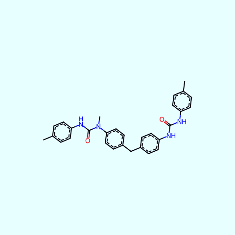 Cc1ccc(NC(=O)Nc2ccc(Cc3ccc(N(C)C(=O)Nc4ccc(C)cc4)cc3)cc2)cc1